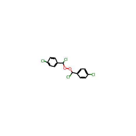 Clc1ccc(C(Cl)OOC(Cl)c2ccc(Cl)cc2)cc1